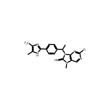 Cc1[nH]c(-c2ccc(C(C)n3c(=N)n(C)c4cnc(Cl)nc43)cc2)nc1C(F)(F)F